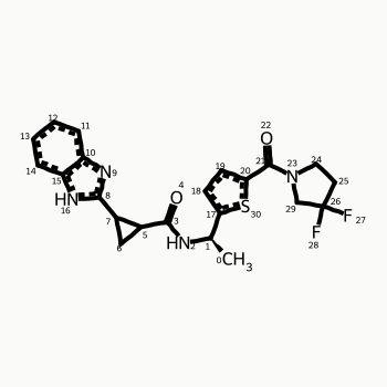 C[C@@H](NC(=O)C1CC1c1nc2ccccc2[nH]1)c1ccc(C(=O)N2CCC(F)(F)C2)s1